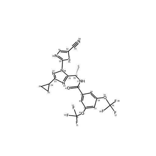 C[C@H](NC(=O)c1cc(OC(F)(F)F)cc(OC(F)(F)F)c1)c1nc(C2CC2)nn1-c1ncc(C#N)s1